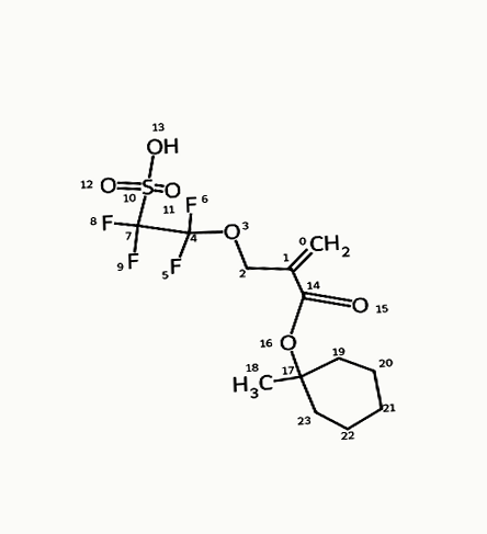 C=C(COC(F)(F)C(F)(F)S(=O)(=O)O)C(=O)OC1(C)CCCCC1